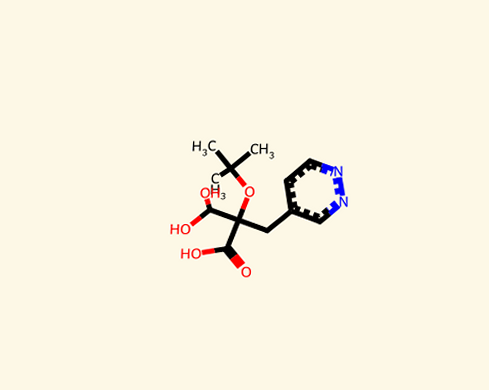 CC(C)(C)OC(Cc1ccnnc1)(C(=O)O)C(O)O